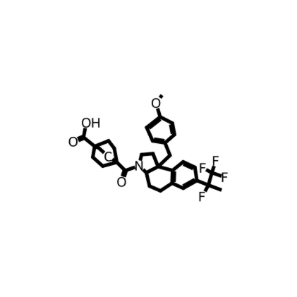 COc1ccc(CC23CCN(C(=O)C45CCC(C(=O)O)(CC4)CC5)C2CCc2cc(C(C)(F)C(F)(F)F)ccc23)cc1